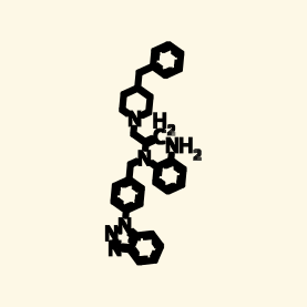 C=C(CN1CCC(Cc2ccccc2)CC1)N(Cc1ccc(-n2nnc3ccccc32)cc1)c1ccccc1N